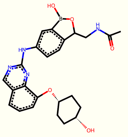 CC(=O)NCC1OB(O)c2cc(Nc3ncc4cccc(O[C@H]5CC[C@@H](O)CC5)c4n3)ccc21